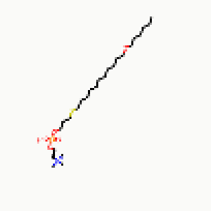 CCCCCCOCCCCCCCCCCCSCCCOP(=O)(O)OCC[N+](C)(C)C